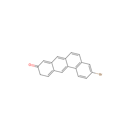 O=C1C=c2cc3ccc4cc(Br)ccc4c3cc2=CC1